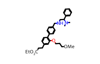 CCOC(=O)CCc1ccc(-c2ccc(CNCC(c3ccccc3)N(C)C)cc2)c(OCCCOC)c1